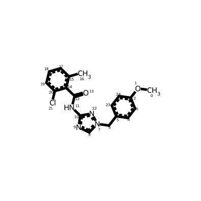 COc1ccc(Cn2cnc(NC(=O)c3c(C)cccc3Cl)n2)cc1